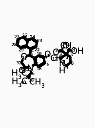 CC(=O)C1(C(=O)O)CCCNC1.COc1ccc2c(c1)C(c1cccc3ccccc13)OCC(=O)N2CC(C)(C)C